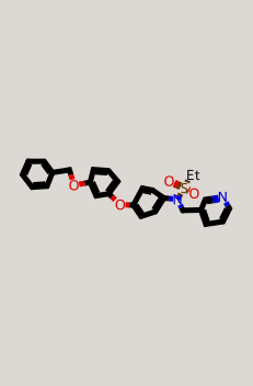 CCS(=O)(=O)N(Cc1cccnc1)c1ccc(Oc2cccc(OCc3ccccc3)c2)cc1